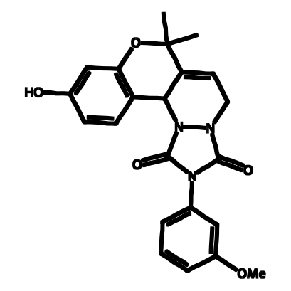 COc1cccc(-n2c(=O)n3n(c2=O)C2C(=CC3)C(C)(C)Oc3cc(O)ccc32)c1